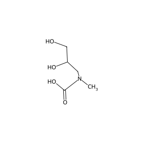 CN(CC(O)CO)C(=O)O